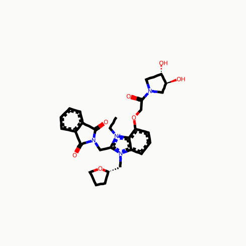 CC[n+]1c(CN2C(=O)c3ccccc3C2=O)n(C[C@@H]2CCCO2)c2cccc(OCC(=O)N3C[C@H](O)[C@@H](O)C3)c21